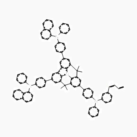 C=C/C=C\c1cccc(N(c2ccccc2)c2ccc(-c3cc4c5c(c3)C(C)(C)c3cc(-c6ccc(N(c7ccccc7)c7cccc8ccccc78)cc6)cc6c7cc(-c8ccc(N(c9ccccc9)c9cccc%10ccccc9%10)cc8)cc(c7n-5c36)C4(C)C)cc2)c1